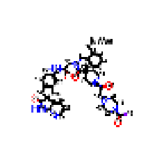 CNCc1ccccc1CN(CC(=O)Nc1ccc2c(c1)C[C@@]1(C2)C(=O)Nc2ncccc21)C(=O)C1(C)CCN(C(=O)CN2CCN(C(=O)I)CC2)CC1